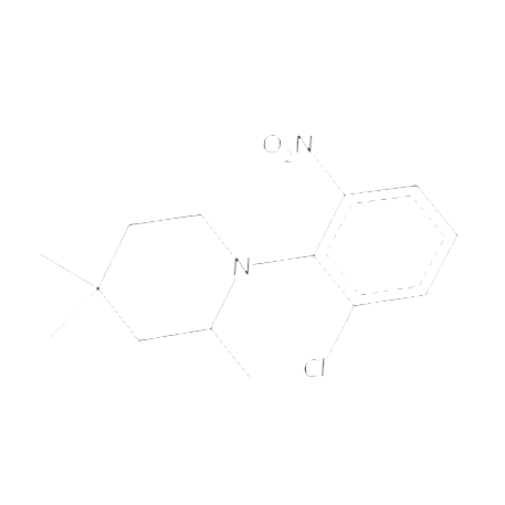 CC1CC(C)(C)CCN1c1c(Cl)cccc1[N+](=O)[O-]